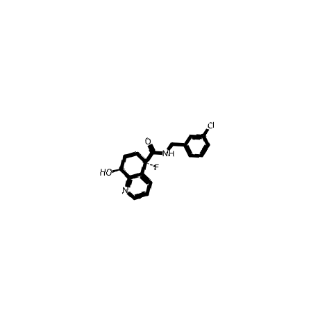 O=C(NCc1cccc(Cl)c1)[C@]1(F)CC[C@H](O)c2ncccc21